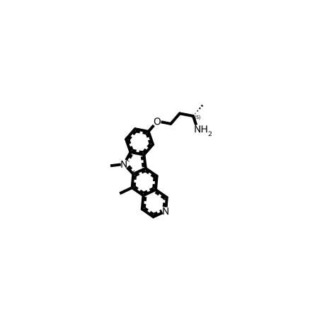 Cc1c2ccncc2cc2c3cc(OCC[C@H](C)N)ccc3n(C)c12